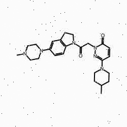 CC1CCN(c2ccc(=O)n(CC(=O)N3CCc4cc(N5CCN(C)CC5)ccc43)n2)CC1